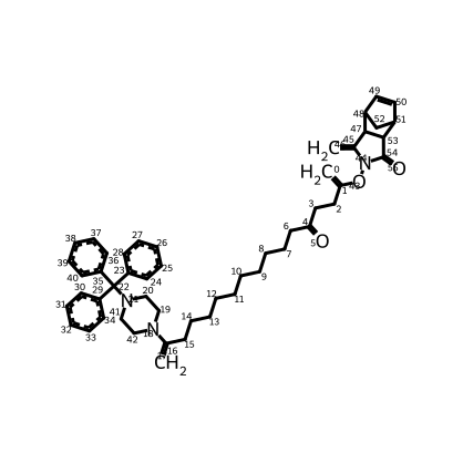 C=C(CCC(=O)CCCCCCCCCCC(=C)N1CCN(C(c2ccccc2)(c2ccccc2)c2ccccc2)CC1)ON1C(=C)C2C3C=CC(C3)C2C1=O